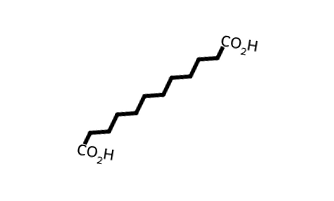 O=C(O)CCCCCCCCCCC(=O)O